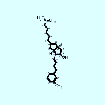 Cc1cccc(CC/C=C/[C@@H]2[C@H]3CC(CCCCCN(C)C)=C[C@H]3C[C@H]2O)c1